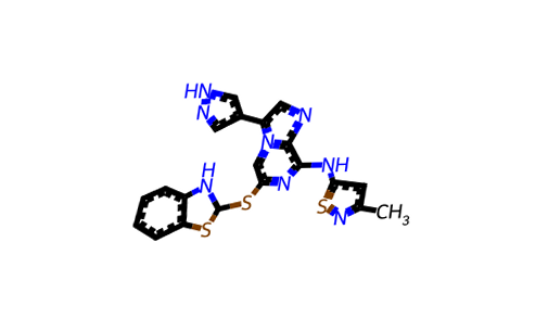 Cc1cc(Nc2nc(SC3Nc4ccccc4S3)cn3c(-c4cn[nH]c4)cnc23)sn1